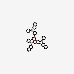 c1ccc(N(c2ccc3ccccc3c2)c2ccccc2-c2cc(-c3ccc4c5cc6ccccc6cc5n(-c5ccccc5)c4c3)cc(-c3ccc4c5cc6ccccc6cc5n(-c5ccccc5)c4c3)c2)cc1